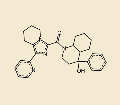 O=C(c1nc(-c2ccccn2)c2n1CCCC2)N1CCC(O)(c2ccccc2)C2CCCCC21